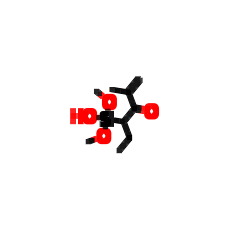 C=C(C)C(=O)C(CC)[Si](O)(OC)OC